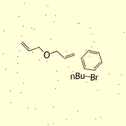 C=CCOCC=C.CCCCBr.c1ccccc1